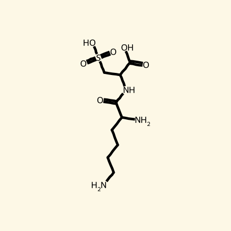 NCCCCC(N)C(=O)NC(CS(=O)(=O)O)C(=O)O